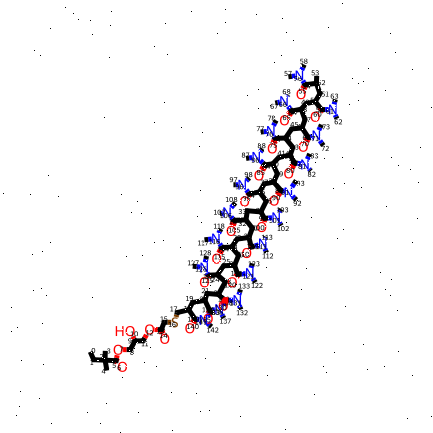 CCC(C)(C)C(=O)OCC(O)COC(=O)CSCC(CC(CC(CC(CC(CC(CC(CC(CC(CC(CC(CC(CC(CC(CC(CC(CC(CC(C)C(=O)N(C)C)C(=O)N(C)C)C(=O)N(C)C)C(=O)N(C)C)C(=O)N(C)C)C(=O)N(C)C)C(=O)N(C)C)C(=O)N(C)C)C(=O)N(C)C)C(=O)N(C)C)C(=O)N(C)C)C(=O)N(C)C)C(=O)N(C)C)C(=O)N(C)C)C(=O)N(C)C)C(=O)N(C)C)C(=O)N(C)C)C(=O)N(C)C